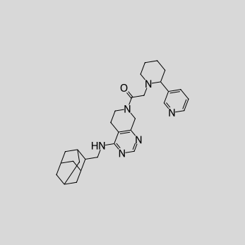 O=C(CN1CCCCC1c1cccnc1)N1CCc2c(ncnc2NCC2C3CC4CC(C3)CC2C4)C1